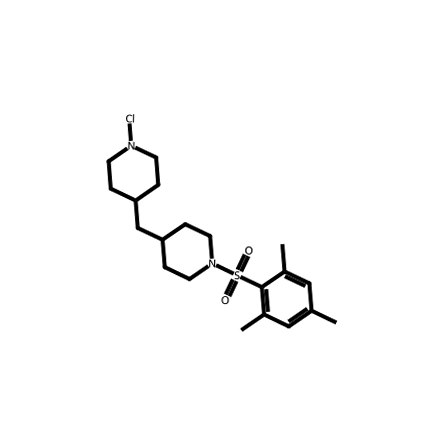 Cc1cc(C)c(S(=O)(=O)N2CCC(CC3CCN(Cl)CC3)CC2)c(C)c1